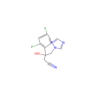 N#CCC(O)(Cn1cncn1)c1ccc(F)cc1F